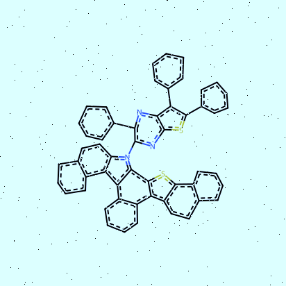 c1ccc(-c2nc3c(-c4ccccc4)c(-c4ccccc4)sc3nc2-n2c3ccc4ccccc4c3c3c4ccccc4c4c5ccc6ccccc6c5sc4c32)cc1